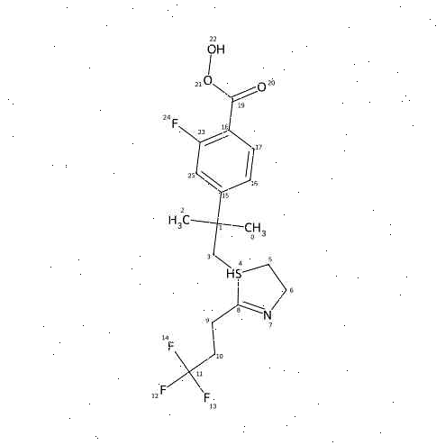 CC(C)(C[SH]1CCN=C1CCC(F)(F)F)c1ccc(C(=O)OO)c(F)c1